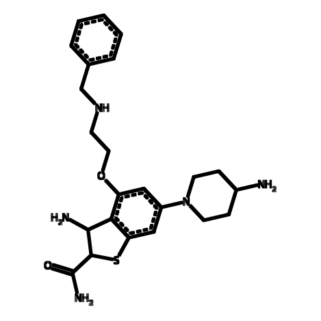 NC(=O)C1Sc2cc(N3CCC(N)CC3)cc(OCCNCc3ccccc3)c2C1N